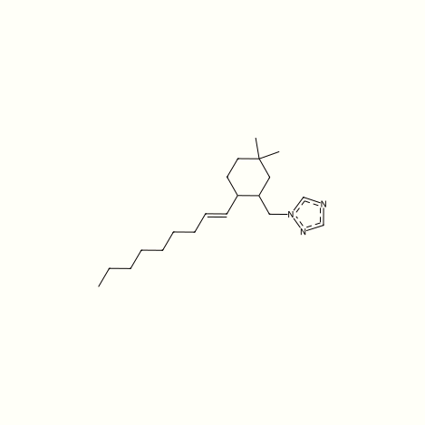 CCCCCCC/C=C/C1CCC(C)(C)CC1Cn1cncn1